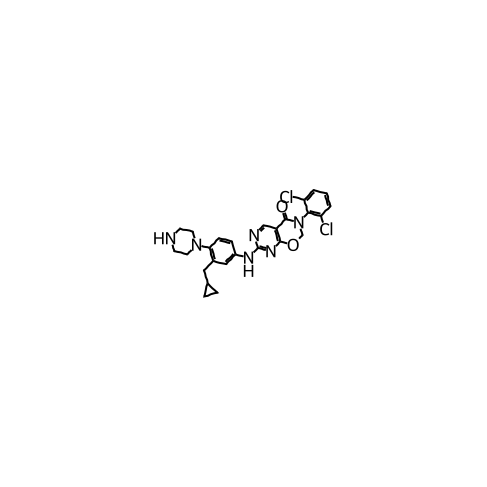 O=C1c2cnc(Nc3ccc(N4CCNCC4)c(CC4CC4)c3)nc2OCN1c1c(Cl)cccc1Cl